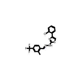 Cc1cc(C(F)(F)F)ccc1/C=N/Nc1nc(-c2ccccc2Cl)cs1